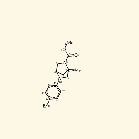 CC(C)(C)OC(=O)N1CC2C[C@H]1CN2c1ccc(Br)cc1